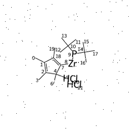 CC1=C(C)C(C)(C)[C]([Zr][P](C(C)(C)C)C(C)(C)C)=C1C.Cl.Cl